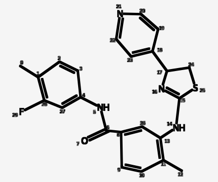 Cc1ccc(NC(=O)c2ccc(C)c(NC3=NC(c4ccncc4)CS3)c2)cc1F